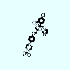 COC(=O)N1CCN(c2ccc(OC[C@H]3COC(Cn4ccnc4)(c4ccc(Cl)cc4Cl)O3)cc2)CC1